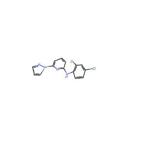 Clc1ccc(Nc2cccc(-n3cccn3)n2)c(Cl)c1